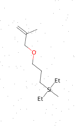 C=C(C)COCCC[Si](C)(CC)CC